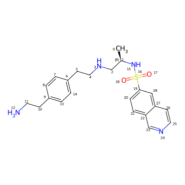 C[C@H](CNCCc1ccc(CCN)cc1)NS(=O)(=O)c1ccc2cnccc2c1